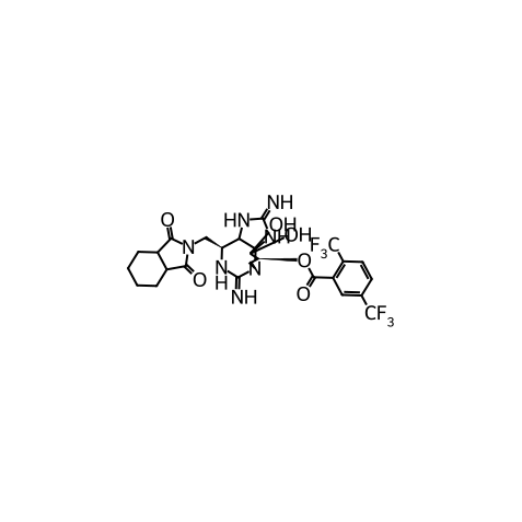 N=C1NC2[C@H](CN3C(=O)C4CCCCC4C3=O)NC(=N)N3C[C@H](OC(=O)c4cc(C(F)(F)F)ccc4C(F)(F)F)C(O)(O)C23N1